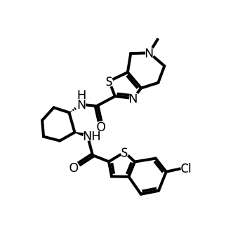 CN1CCc2nc(C(=O)N[C@H]3CCCC[C@@H]3NC(=O)c3cc4ccc(Cl)cc4s3)sc2C1